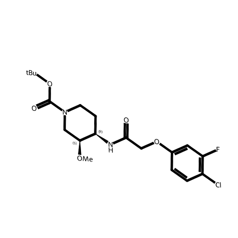 CO[C@H]1CN(C(=O)OC(C)(C)C)CC[C@H]1NC(=O)COc1ccc(Cl)c(F)c1